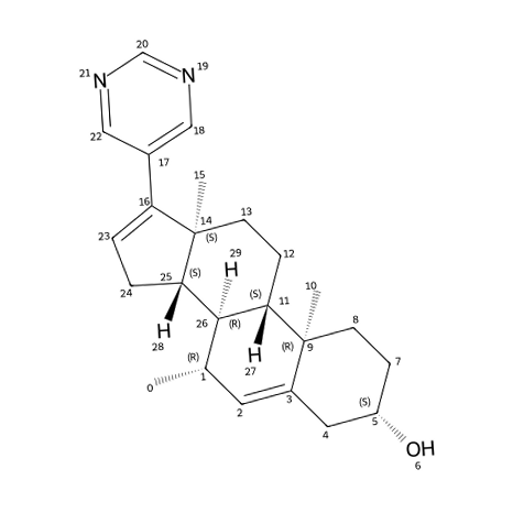 C[C@H]1C=C2C[C@@H](O)CC[C@]2(C)[C@H]2CC[C@]3(C)C(c4cncnc4)=CC[C@H]3[C@H]12